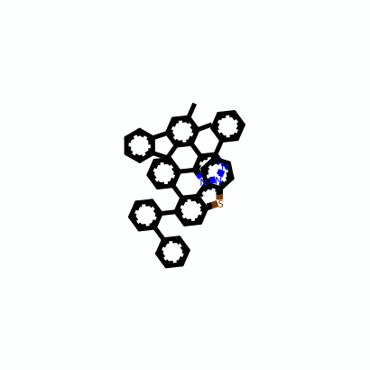 Cc1cc2c(c(-c3c(-c4ccccc4)nnnc3-c3ccccc3-c3c(-c4ccccc4-c4ccccc4)ccc4sc5ccccc5c34)c1C)Cc1ccccc1-2